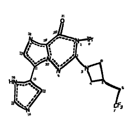 CC(C)n1c(N2CC(CC(F)(F)F)C2)nn2c(-c3cnc[nH]3)cnc2c1=O